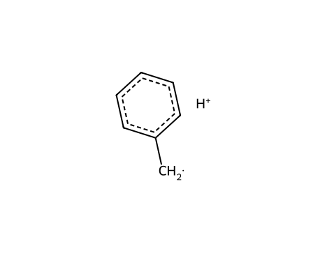 [CH2]c1ccccc1.[H+]